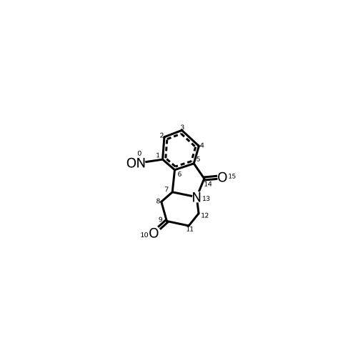 O=Nc1cccc2c1C1CC(=O)CCN1C2=O